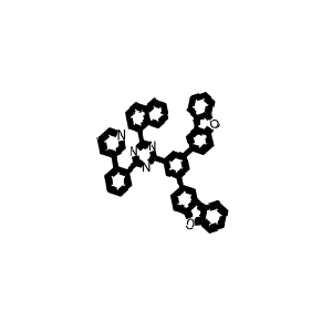 c1cncc(-c2ccccc2-c2nc(-c3cc(-c4ccc5oc6ccccc6c5c4)cc(-c4ccc5oc6ccccc6c5c4)c3)nc(-c3cccc4ccccc34)n2)c1